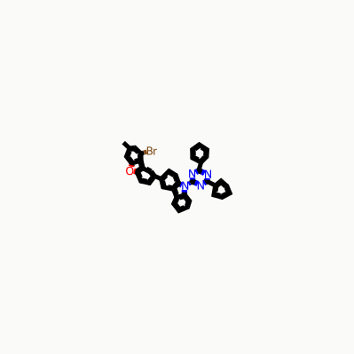 Cc1cc(Br)c2c(c1)oc1ccc(-c3ccc4c(c3)c3ccccc3n4-c3nc(-c4ccccc4)nc(-c4ccccc4)n3)cc12